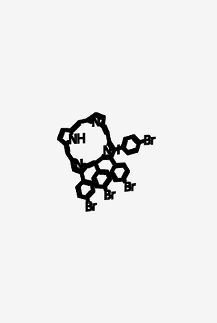 Brc1ccc(C2=Cc3cc4ccc(cc5nc(cc6[nH]c(c(-c7ccc(Br)cc7)c2n3)c(-c2ccc(Br)cc2)c6-c2ccc(Br)cc2)C=C5)[nH]4)cc1